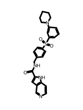 O=C(NCc1ccc(S(=O)(=O)c2cccc(N3CCCCC3)c2)cc1)c1cc2cnccc2[nH]1